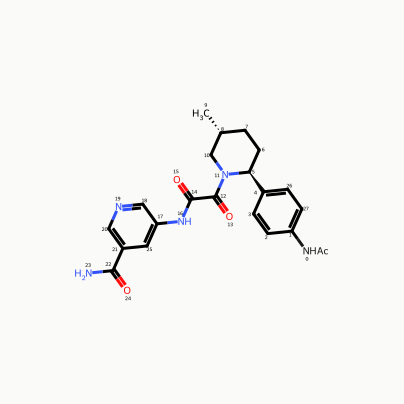 CC(=O)Nc1ccc([C@@H]2CC[C@@H](C)CN2C(=O)C(=O)Nc2cncc(C(N)=O)c2)cc1